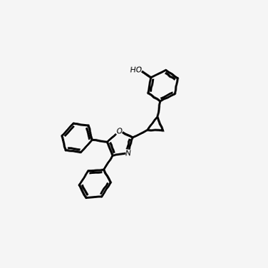 Oc1cccc(C2CC2c2nc(-c3ccccc3)c(-c3ccccc3)o2)c1